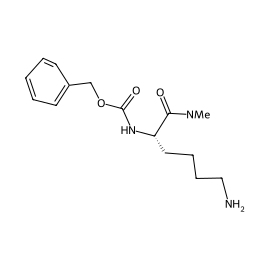 CNC(=O)[C@H](CCCCN)NC(=O)OCc1ccccc1